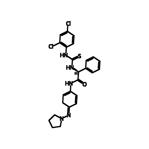 O=C(NC1=CCC(=NN2CCCC2)C=C1)[C@@H](NC(=S)Nc1ccc(Cl)cc1Cl)c1ccccc1